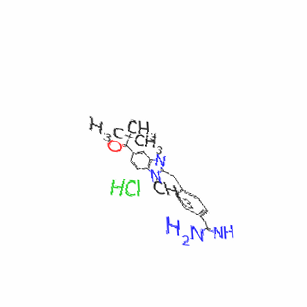 Cl.Cn1c(Cc2ccc(C(=N)N)cc2)nc2cc(C(=O)C(C)(C)C)ccc21